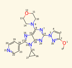 COc1ccn(-c2nc(N3CCOCC3)c3nc(-c4ccncc4)n(C4CC4)c3n2)n1